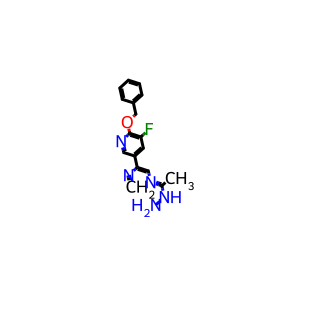 C=N/C(=C\N=C(/C)NN)c1cnc(OCc2ccccc2)c(F)c1